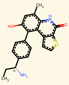 CC[C@@H](N)c1ccc(-c2c(O)cc(C)c3[nH]c(=O)c4sccc4c23)cc1